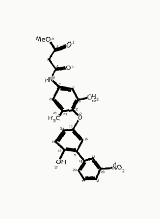 COC(=O)CC(=O)Nc1cc(C)c(Oc2ccc(O)c(-c3cccc([N+](=O)[O-])c3)c2)c(C)c1